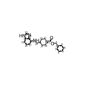 O=C(OCc1ccccc1)N1CCC(CNc2cccc3[nH]cnc23)CC1